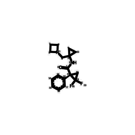 O=C(NC1(CN2CCC2)CC1)[C@]1(c2ccccc2)CC1(F)F